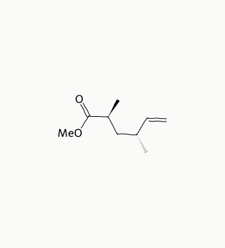 C=C[C@H](C)C[C@H](C)C(=O)OC